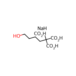 O=C(O)C(CCCCO)(C(=O)O)C(=O)O.[NaH]